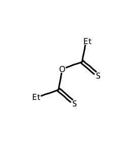 CCC(=S)OC(=S)CC